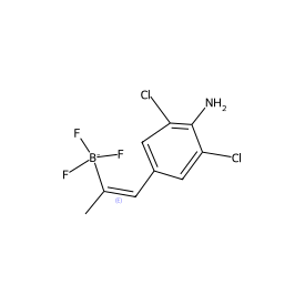 C/C(=C/c1cc(Cl)c(N)c(Cl)c1)[B-](F)(F)F